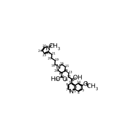 COc1ccc2nccc([C@@H](O)CC[C@@H]3CCN(CCCCc4cccn4C)C[C@@H]3C(=O)O)c2c1